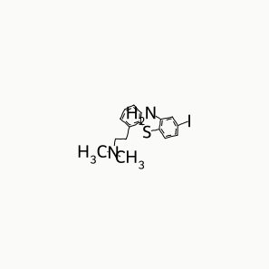 CN(C)CCc1ccccc1Sc1ccc(I)cc1N